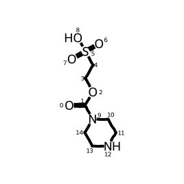 O=C(OCCS(=O)(=O)O)N1CCNCC1